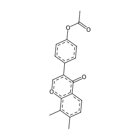 CC(=O)Oc1ccc(-c2coc3c(C)c(C)ccc3c2=O)cc1